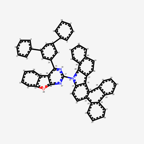 c1ccc(-c2cc(-c3ccccc3)cc(-c3nc(-n4c5ccc6c7ccccc7c7ccccc7c6c5c5ccc6ccccc6c54)nc4oc5ccccc5c34)c2)cc1